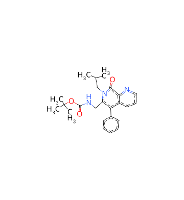 CC(C)Cn1c(CNC(=O)OC(C)(C)C)c(-c2ccccc2)c2cccnc2c1=O